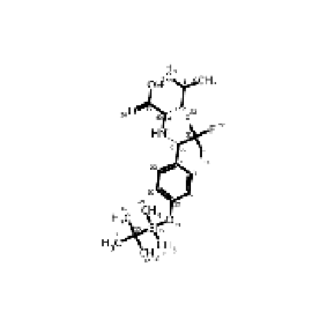 CC(C)C[C@H](N[C@@H](c1ccc(O[Si](C)(C)C(C)(C)C)cc1)C(F)(F)F)C(=O)O